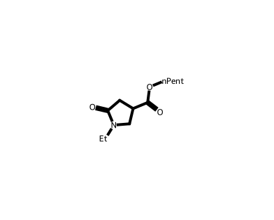 CCCCCOC(=O)C1CC(=O)N(CC)C1